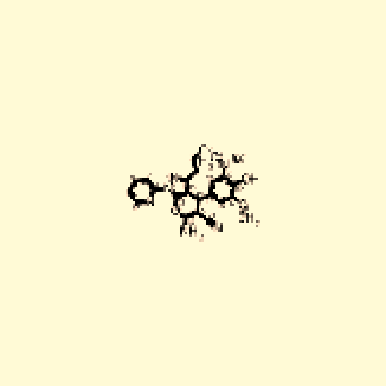 CCCc1nn(-c2ccccn2)c2c1C(c1cc(OC)c(O)c([N+](=O)[O-])c1)C(C#N)=C(N)O2